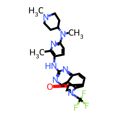 Cc1nc(N(C)C2CCN(C)CC2)ccc1NC1=NCC23CC(=O)CCN(C(F)(F)F)C2=CC=CC3=N1